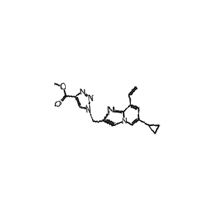 C=Cc1cc(C2CC2)cn2cc(Cn3cc(C(=O)OC)nn3)nc12